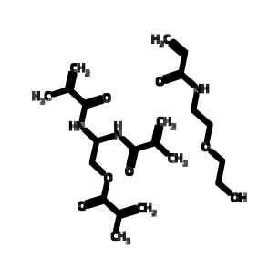 C=C(C)C(=O)NC(COC(=O)C(=C)C)NC(=O)C(=C)C.C=CC(=O)NCCOCCO